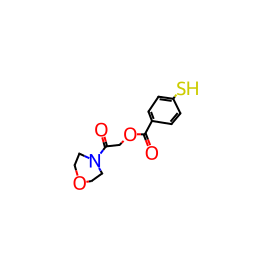 O=C(OCC(=O)N1CCOCC1)c1ccc(S)cc1